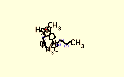 C/C=C(/C=C\C=C/CC)N(C)C1=CC(/C(=C\C=O)C2CCC2)=C(N(C)CC)CC1